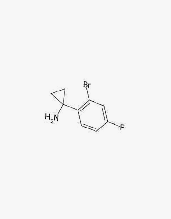 NC1(c2ccc(F)cc2Br)CC1